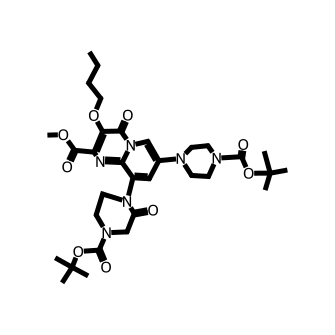 CCCCOc1c(C(=O)OC)nc2c(N3CCN(C(=O)OC(C)(C)C)CC3=O)cc(N3CCN(C(=O)OC(C)(C)C)CC3)cn2c1=O